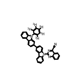 [2H]c1c([2H])c([2H])c(-n2c3ccccc3c3ccc(-c4ccc5c(c4)c4ccccc4n5-c4nc(C#N)c5ccccc5n4)cc32)c([2H])c1[2H]